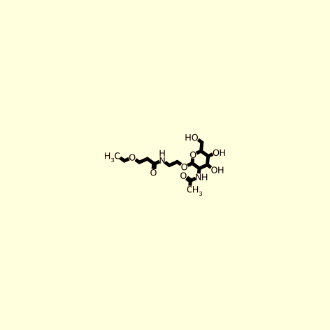 CCOCCC(=O)NCCOC1OC(CO)C(O)C(O)C1NC(C)=O